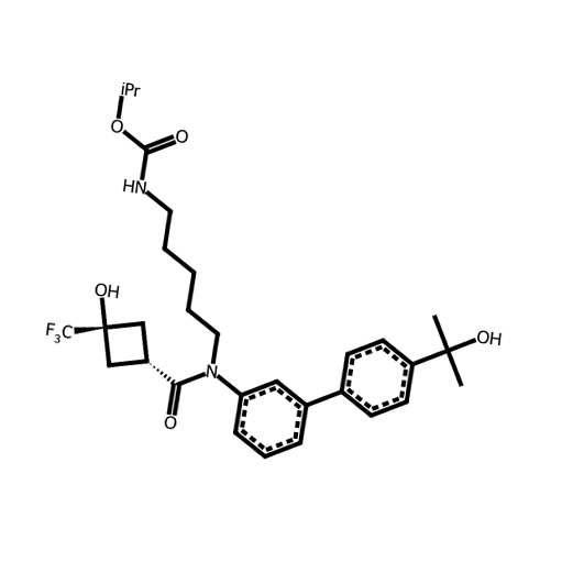 CC(C)OC(=O)NCCCCCN(c1cccc(-c2ccc(C(C)(C)O)cc2)c1)C(=O)[C@H]1C[C@](O)(C(F)(F)F)C1